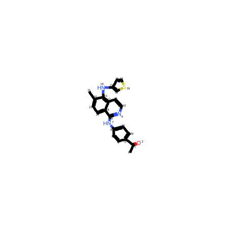 CC(=O)c1ccc(Nc2nccc3c(Nc4ccsc4)c(C)ccc23)cc1